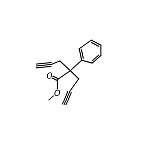 C#CCC(CC#C)(C(=O)OC)c1ccccc1